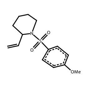 C=CC1CCCCN1S(=O)(=O)c1ccc(OC)cc1